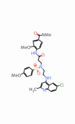 CNC(=O)c1ccc(NC(=O)CCN(CCNc2cc(C)nc3ccc(Cl)cc23)S(=O)(=O)c2ccc(OC)cc2)c(OC)c1